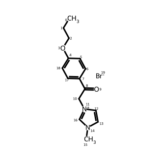 CCCOc1ccc(C(=O)C[n+]2ccn(C)c2)cc1.[Br-]